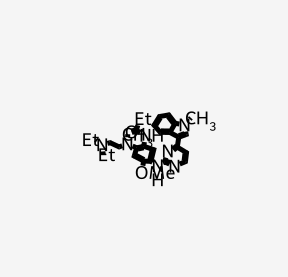 CCC(=O)Nc1cc(Nc2nccc(-c3cn(C)c4ccccc34)n2)c(OC)cc1N(C)CCN(CC)CC